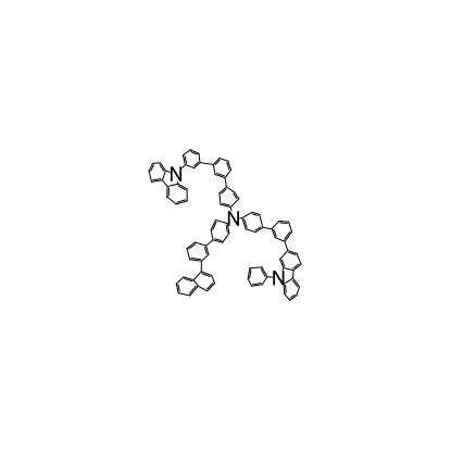 c1ccc(-n2c3ccccc3c3ccc(-c4cccc(-c5ccc(N(c6ccc(-c7cccc(-c8cccc(-n9c%10ccccc%10c%10ccccc%109)c8)c7)cc6)c6ccc(-c7cccc(-c8cccc9ccccc89)c7)cc6)cc5)c4)cc32)cc1